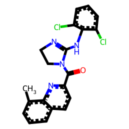 Cc1cccc2ccc(C(=O)N3CCN=C3Nc3c(Cl)cccc3Cl)nc12